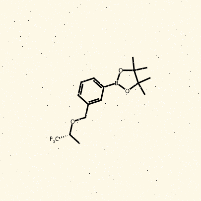 C[C@@H](OCc1cccc(B2OC(C)(C)C(C)(C)O2)c1)C(F)(F)F